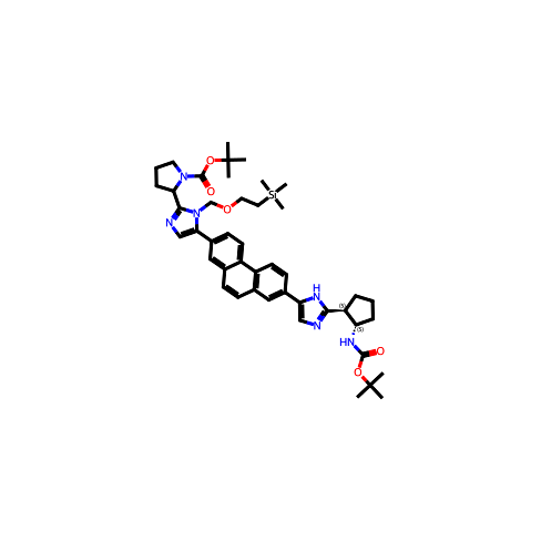 CC(C)(C)OC(=O)N[C@H]1CCC[C@@H]1c1ncc(-c2ccc3c(ccc4cc(-c5cnc(C6CCCN6C(=O)OC(C)(C)C)n5COCC[Si](C)(C)C)ccc43)c2)[nH]1